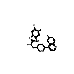 C[C@H](CC1CCC(c2ccnc3ccc(F)cc23)CC1)c1nc2cc(F)c(F)cc2[nH]1